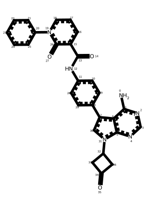 Nc1ncnc2c1c(-c1ccc(NC(=O)c3cccn(-c4ccccc4)c3=O)cc1)cn2C1CC(=O)C1